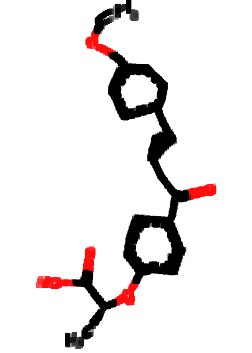 COc1ccc(/C=C/C(=O)c2ccc(O[C@@H](C)C(=O)O)cc2)cc1